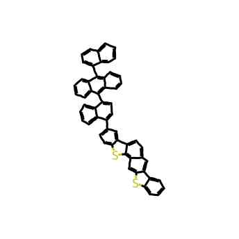 c1ccc2c(-c3c4ccccc4c(-c4ccc(-c5ccc6sc7c8cc9sc%10ccccc%10c9cc8ccc7c6c5)c5ccccc45)c4ccccc34)cccc2c1